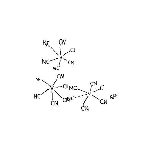 N#[C][V-]([Cl])([C]#N)([C]#N)([C]#N)[C]#N.N#[C][V-]([Cl])([C]#N)([C]#N)([C]#N)[C]#N.N#[C][V-]([Cl])([C]#N)([C]#N)([C]#N)[C]#N.[Al+3]